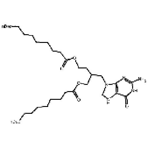 CCCCCCCCCCCCCCCCCC(=O)OCCC(COC(=O)CCCCCCCCCCCCCCCCC)CN1CNc2c1nc(N)[nH]c2=O